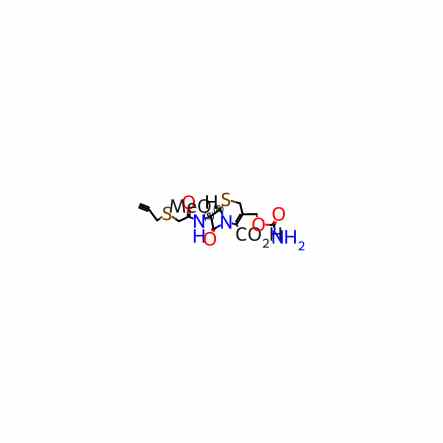 C#CCSCC(=O)N[C@]1(OC)C(=O)N2C(C(=O)O)=C(COC(N)=O)CS[C@@H]21